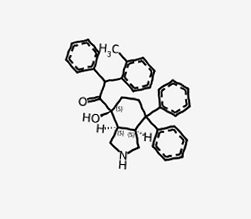 Cc1ccccc1C(C(=O)[C@]1(O)CCC(c2ccccc2)(c2ccccc2)[C@H]2CNC[C@H]21)c1ccccc1